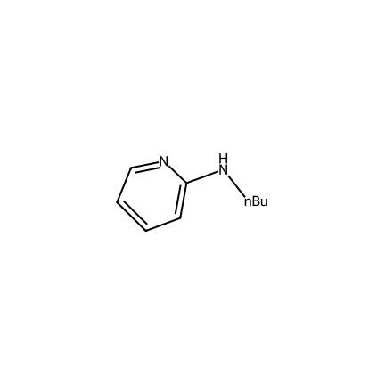 CCCCNc1ccccn1